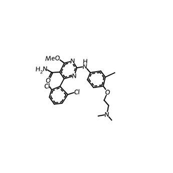 COc1nc(Nc2ccc(OCCN(C)C)c(C)c2)nc(-c2c(Cl)cccc2Cl)c1C(N)=O